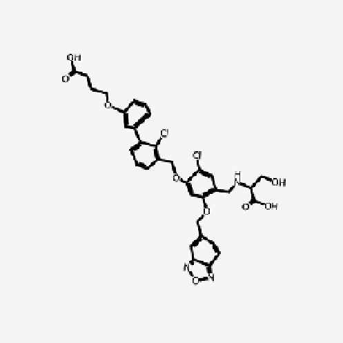 O=C(O)CCCOc1cccc(-c2cccc(COc3cc(OCc4ccc5nonc5c4)c(CNC(CO)C(=O)O)cc3Cl)c2Cl)c1